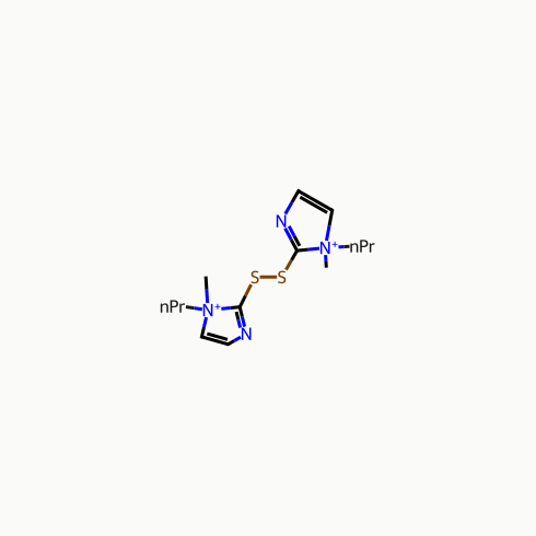 CCC[N+]1(C)C=CN=C1SSC1=NC=C[N+]1(C)CCC